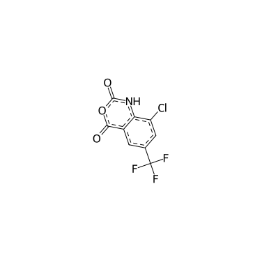 O=c1[nH]c2c(Cl)cc(C(F)(F)F)cc2c(=O)o1